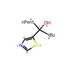 CCCCCC(O)(c1cncs1)C(C)(C)C